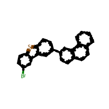 Brc1ccc2sc3ccc(-c4ccc5ccc6ccccc6c5c4)cc3c2c1